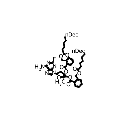 CCCCCCCCCCCCCCCC(=O)OCc1ccccc1C(=O)OC1[C@@]2(C)O[C@@H](n3cnc4c(N)nc(F)nc43)C[C@@]12OC(=O)c1ccccc1COC(=O)CCCCCCCCCCCCCCC